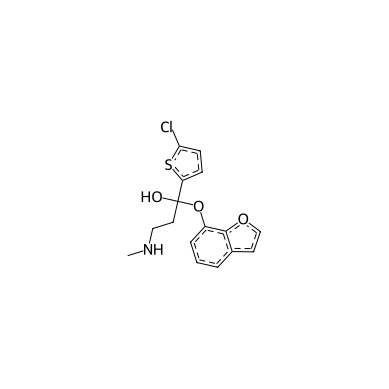 CNCCC(O)(Oc1cccc2ccoc12)c1ccc(Cl)s1